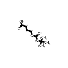 CC(C)(C)OC(=O)OCCCC(=O)O